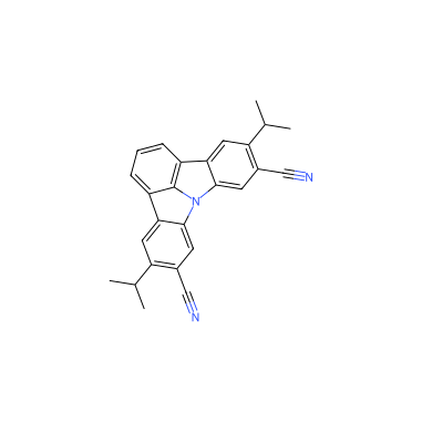 CC(C)c1cc2c3cccc4c5cc(C(C)C)c(C#N)cc5n(c2cc1C#N)c34